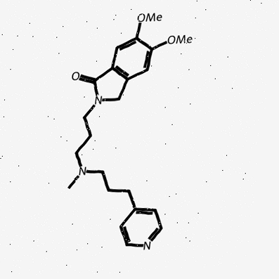 COc1cc2c(cc1OC)C(=O)N(CCCN(C)CCCc1ccncc1)C2